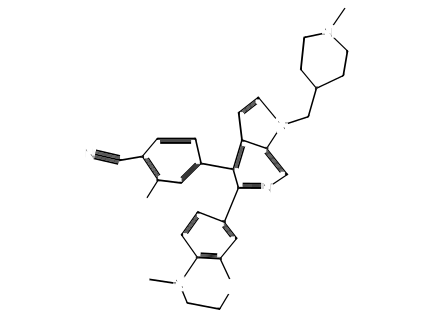 CN1CCC(Cn2ccc3c(-c4ccc(C#N)c(F)c4)c(-c4ccc5c(c4)OCCN5C)ncc32)CC1